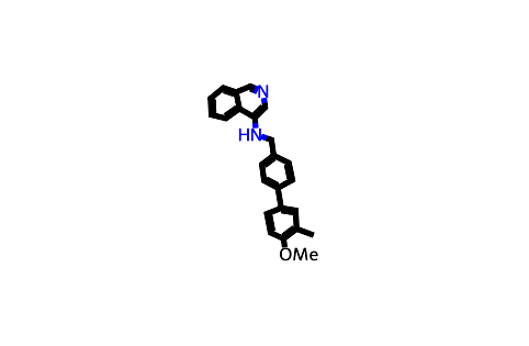 COc1ccc(-c2ccc(CNc3cncc4ccccc34)cc2)cc1C